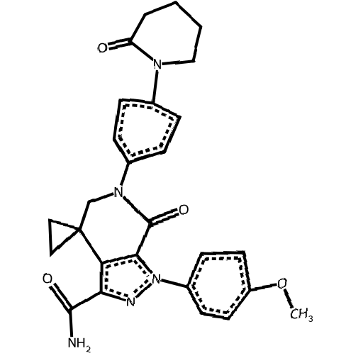 COc1ccc(-n2nc(C(N)=O)c3c2C(=O)N(c2ccc(N4CCCCC4=O)cc2)CC32CC2)cc1